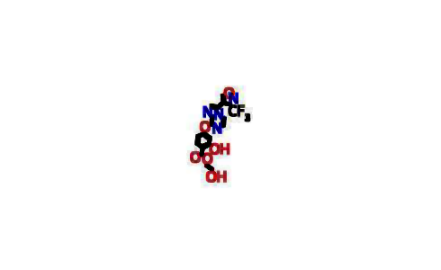 O=C(OCCO)c1ccc(Oc2nccn3c(-c4conc4C(F)(F)F)cnc23)cc1O